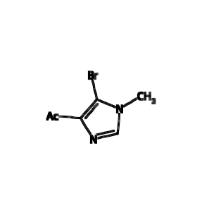 CC(=O)c1ncn(C)c1Br